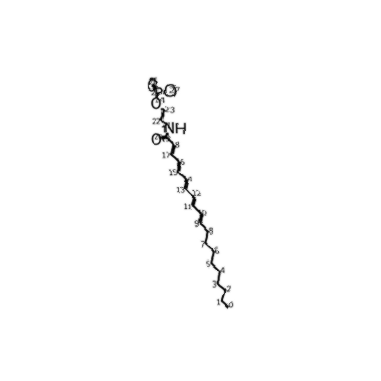 CCCCCCCCCC=CC=CC=CC=CC=CC(=O)NCCOP(=O)=O